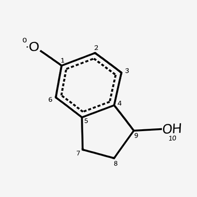 [O]c1ccc2c(c1)CCC2O